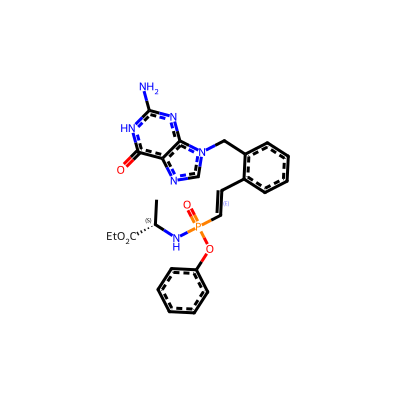 CCOC(=O)[C@H](C)NP(=O)(/C=C/c1ccccc1Cn1cnc2c(=O)[nH]c(N)nc21)Oc1ccccc1